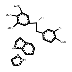 COc1ccc(C[C@@H](O)c2cc(OC)c(OC)c(OC)c2)cc1O.c1ccc2[nH]ccc2c1.c1cn[nH]n1